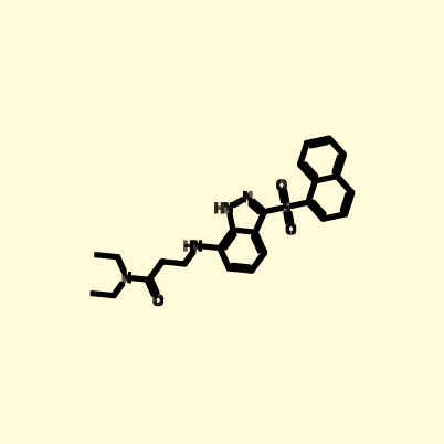 CCN(CC)C(=O)CCNc1cccc2c(S(=O)(=O)c3cccc4ccccc34)n[nH]c12